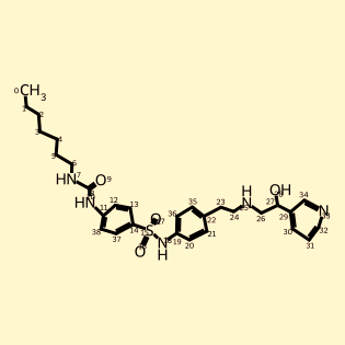 CCCCCCCNC(=O)Nc1ccc(S(=O)(=O)Nc2ccc(CCNCC(O)c3cccnc3)cc2)cc1